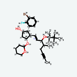 CC#CCC(C)C(/C=C/[C@@H]1[C@@H](c2cccc(Br)c2F)[C@@H](O)C[C@H]1OC1CCCCO1)O[Si](C)(C)C(C)(C)C